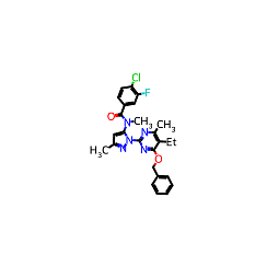 CCc1c(C)nc(-n2nc(C)cc2N(C)C(=O)c2ccc(Cl)c(F)c2)nc1OCc1ccccc1